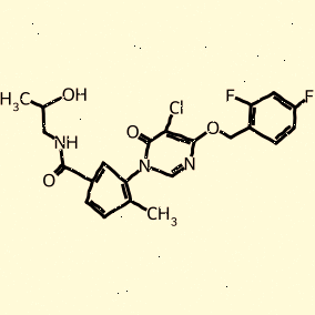 Cc1ccc(C(=O)NCC(C)O)cc1-n1cnc(OCc2ccc(F)cc2F)c(Cl)c1=O